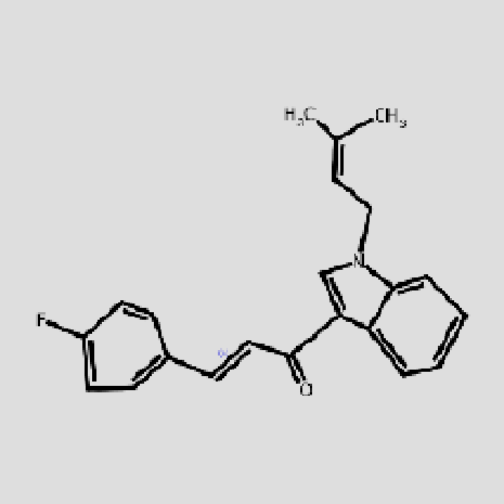 CC(C)=CCn1cc(C(=O)/C=C/c2ccc(F)cc2)c2ccccc21